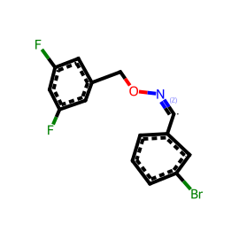 Fc1cc(F)cc(CO/N=[C]\c2cccc(Br)c2)c1